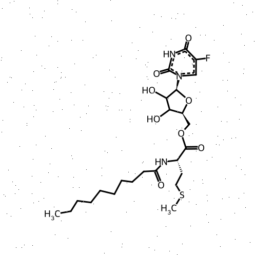 CCCCCCCCCC(=O)N[C@@H](CCSC)C(=O)OC[C@@H]1O[C@H](n2cc(F)c(=O)[nH]c2=O)C(O)C1O